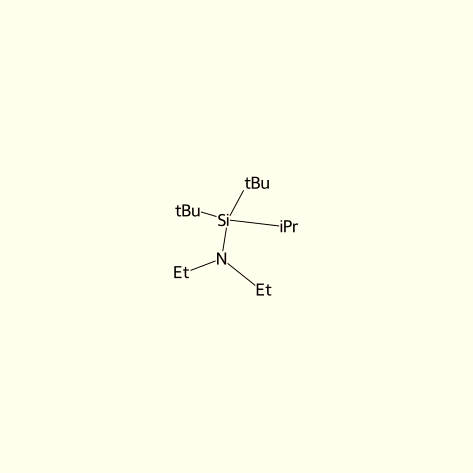 CCN(CC)[Si](C(C)C)(C(C)(C)C)C(C)(C)C